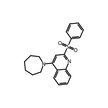 O=S(=O)(c1ccccc1)c1cc(N2CCCCCC2)c2ccccc2n1